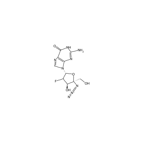 [N-]=[N+]=N[C@]1(CO)O[C@@H](n2cnc3c(=O)[nH]c(N)nc32)C(F)[C@@H]1O